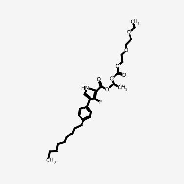 CCCCCCCCCc1ccc(-c2c[nH]c(C(=O)OC(C)OC(=O)OCCOCCOCC)c2F)cc1